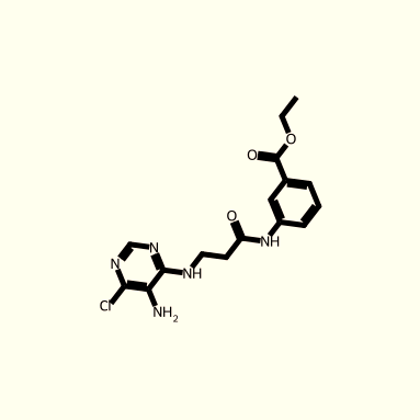 CCOC(=O)c1cccc(NC(=O)CCNc2ncnc(Cl)c2N)c1